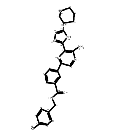 Nc1ncc(-c2cccc(C(=O)NCc3ccc(Cl)cc3)c2)nc1-c1nnc([C@H]2CCCNC2)[nH]1